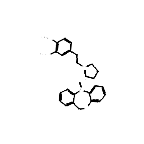 COc1ccc(CCN2CCC[C@@H]2CN2c3ccccc3COc3ccccc32)cc1OC